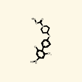 CC(C)(C)OC(=O)N1CCC(Sc2ccc(-c3c(Cl)cc(NS)cc3C(F)(F)F)cc2)CC1